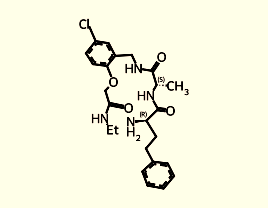 CCNC(=O)COc1ccc(Cl)cc1CNC(=O)[C@H](C)NC(=O)[C@H](N)CCc1ccccc1